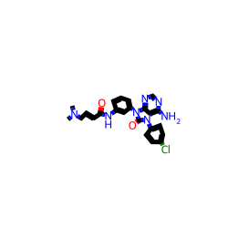 CN(C)CC=CC(=O)Nc1cccc(-n2c(=O)n(-c3ccc(Cl)cc3)c3c(N)ncnc32)c1